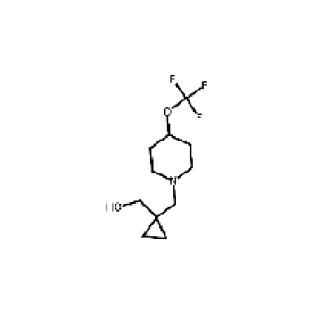 OCC1(CN2CCC(OC(F)(F)F)CC2)CC1